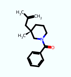 C=C(C)C[C@]1(C)CCCN(C(=O)c2ccccc2)C1